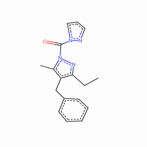 CCc1nn(C(=O)n2cccn2)c(C)c1Cc1ccccc1